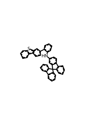 c1ccc(-c2ccc3c(c2)sc2ccccc23)c(Nc2ccc3c(c2)C2(c4ccccc4-c4ccccc42)c2ccccc2-3)c1